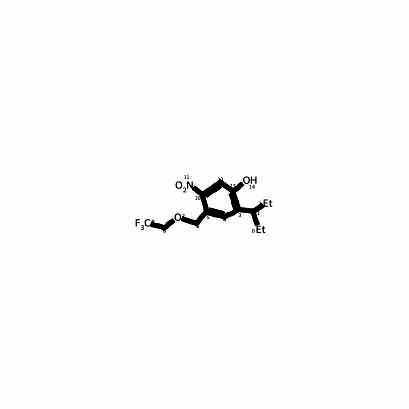 CCC(CC)c1cc(COCC(F)(F)F)c([N+](=O)[O-])cc1O